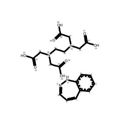 C1=Cc2ccccc2NN=C1.O=C(O)CN(CCN(CC(=O)O)CC(=O)O)CC(=O)O